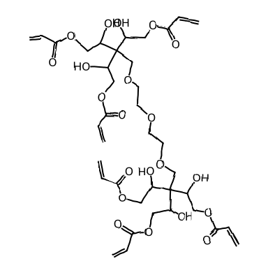 C=CC(=O)OCC(O)C(COCCOCCOCC(C(O)COC(=O)C=C)(C(O)COC(=O)C=C)C(O)COC(=O)C=C)(C(O)COC(=O)C=C)C(O)COC(=O)C=C